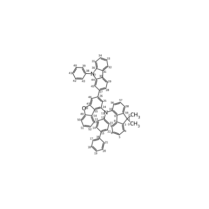 CC1(C)c2ccccc2-c2c(N(c3ccc(-c4ccccc4)cc3)c3cc(-c4ccc5c6ccccc6n(-c6ccccc6)c5c4)cc4oc5ccccc5c34)cccc21